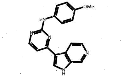 COc1ccc(Nc2nccc(-c3c[nH]c4cnccc34)n2)cc1